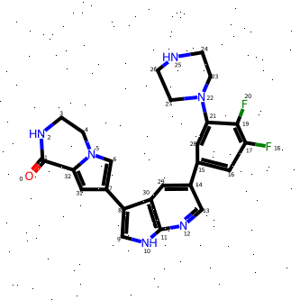 O=C1NCCn2cc(-c3c[nH]c4ncc(-c5cc(F)c(F)c(N6CCNCC6)c5)cc34)cc21